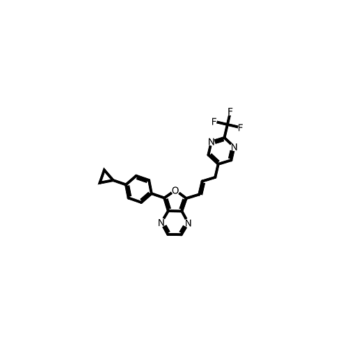 FC(F)(F)c1ncc(C/C=C/c2oc(-c3ccc(C4CC4)cc3)c3nccnc23)cn1